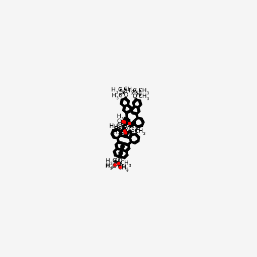 CC1=CC2=C(C=CC=CC2c2ccc3cc(O[Si](C)(C)C)ccc3c2)[C]12[SiH](C)[C]1(C(C)=CC3=C1C=CC=CC3c1ccc3cc(O[Si](C)(C)C)ccc3c1)[Zr]21([Cl])([Cl])[C]2(C(C)=CC3=C2C=CC=CC3c2ccc3cc(O[Si](C)(C)C)ccc3c2)[SiH](C)[C]12C(C)=CC1=C2C=CC=CC1c1ccc2cc(O[Si](C)(C)C)ccc2c1